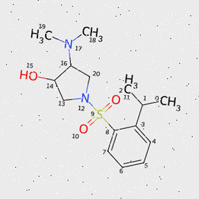 CC(C)c1ccccc1S(=O)(=O)N1CC(O)C(N(C)C)C1